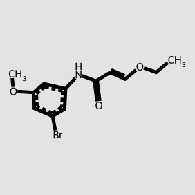 CCO/C=C/C(=O)Nc1cc(Br)cc(OC)c1